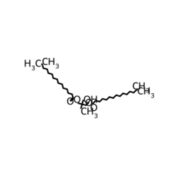 CCC(CO)(COC(=O)CCCCCCCCCCCCC(C)C)COC(=O)CCCCCCCCCCCCC(C)C